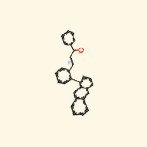 O=C(/C=C/c1ccccc1-c1cccc2cc3ccccc3cc12)c1ccccc1